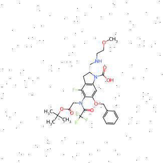 COCCNC[C@H]1Cc2c(cc(OCc3ccccc3)c(N(CC(=O)OC(C)(C)C)C(=O)C(F)(F)F)c2F)N1C(=O)O